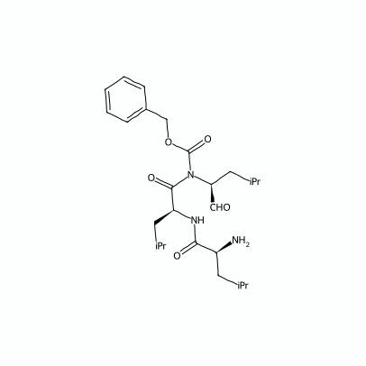 CC(C)C[C@H](NC(=O)[C@@H](N)CC(C)C)C(=O)N(C(=O)OCc1ccccc1)[C@H](C=O)CC(C)C